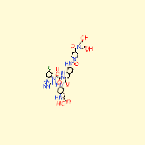 O=C(O)c1cc2cc(NC(=O)[C@H](Cc3ccc(NC(=O)N4CCC(C(=O)N(CCO)CCO)CC4)cc3)NC(=O)[C@H](O)Nc3cc(Cl)ccc3-n3cnnn3)ccc2[nH]1